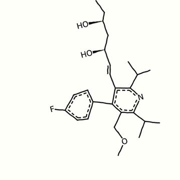 CC[C@H](O)C[C@H](O)/C=C/c1c(C(C)C)nc(C(C)C)c(COC)c1-c1ccc(F)cc1